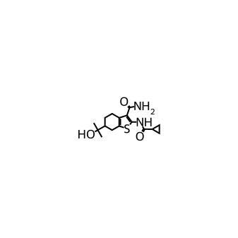 CC(C)(O)C1CCc2c(sc(NC(=O)C3CC3)c2C(N)=O)C1